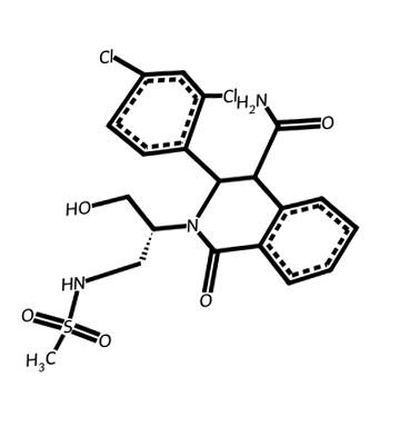 CS(=O)(=O)NC[C@H](CO)N1C(=O)c2ccccc2C(C(N)=O)C1c1ccc(Cl)cc1Cl